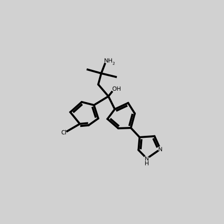 CC(C)(N)CC(O)(c1ccc(Cl)cc1)c1ccc(-c2cn[nH]c2)cc1